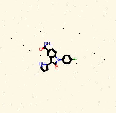 NC(=O)c1ccc2c(c1)C(c1ccc[nH]1)C(=O)N2c1ccc(F)cc1